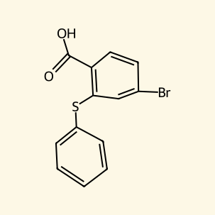 O=C(O)c1ccc(Br)cc1Sc1ccccc1